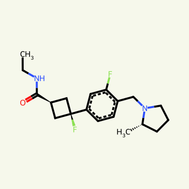 CCNC(=O)[C@H]1C[C@](F)(c2ccc(CN3CCC[C@@H]3C)c(F)c2)C1